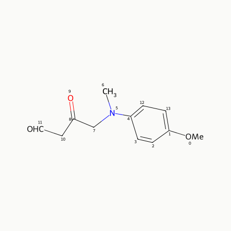 COc1ccc(N(C)CC(=O)CC=O)cc1